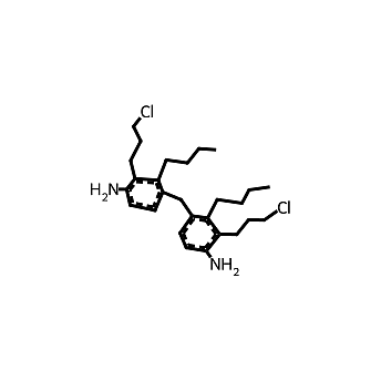 CCCCc1c(Cc2ccc(N)c(CCCCl)c2CCCC)ccc(N)c1CCCCl